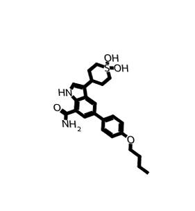 CCCCOc1ccc(-c2cc(C(N)=O)c3[nH]cc(C4CCS(O)(O)CC4)c3c2)cc1